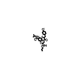 C=CCONC(=O)CN1C(=O)C(Cc2ccc(OC)cc2)Sc2cc(C(=O)NC(C)C)ccc21